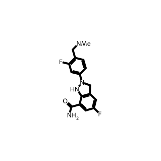 CNCc1ccc(N2Cc3cc(F)cc(C(N)=O)c3N2)cc1F